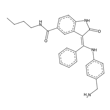 CCCCNC(=O)c1ccc2c(c1)/C(=C(/Nc1ccc(CN)cc1)c1ccccc1)C(=O)N2